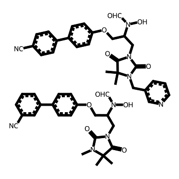 CC1(C)C(=O)N(CC(COc2ccc(-c3ccc(C#N)cc3)cc2)N(O)C=O)C(=O)N1Cc1cccnc1.CN1C(=O)N(CC(COc2ccc(-c3cccc(C#N)c3)cc2)N(O)C=O)C(=O)C1(C)C